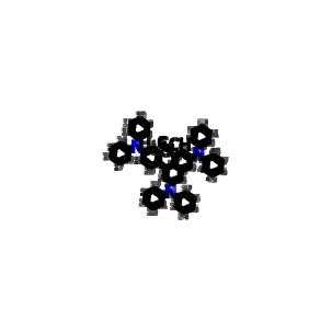 C[Si]1(C)c2cc(N(c3ccccc3)c3ccccc3)ccc2-c2cc(N(c3ccccc3)c3ccccc3)cc3cc(N(c4ccccc4)c4ccccc4)cc1c23